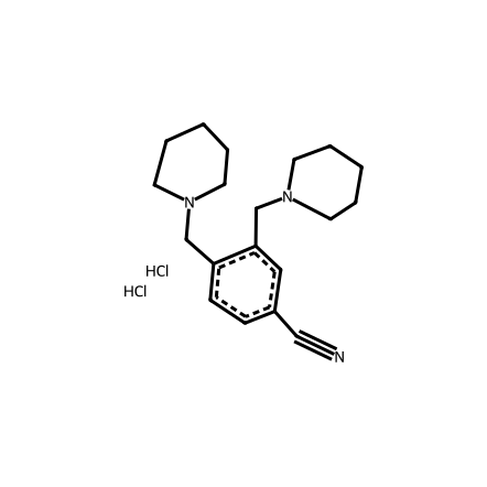 Cl.Cl.N#Cc1ccc(CN2CCCCC2)c(CN2CCCCC2)c1